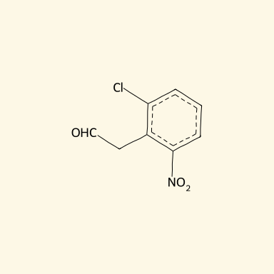 O=CCc1c(Cl)cccc1[N+](=O)[O-]